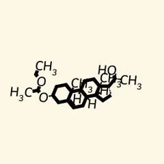 CCOC(C)O[C@@H]1CC[C@@]2(C)C(=CC[C@@H]3[C@H]4CC[C@@H]([C@@H](C)O)[C@]4(C)CC[C@H]32)C1